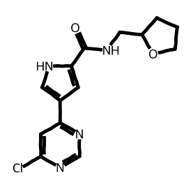 O=C(NCC1CCCO1)c1cc(-c2cc(Cl)ncn2)c[nH]1